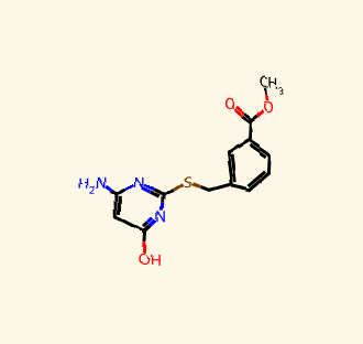 COC(=O)c1cccc(CSc2nc(N)cc(O)n2)c1